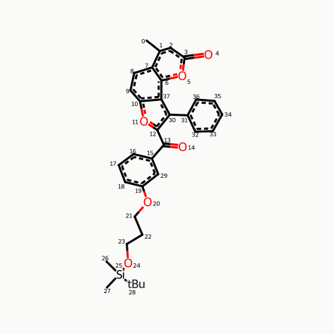 Cc1cc(=O)oc2c1ccc1oc(C(=O)c3cccc(OCCCO[Si](C)(C)C(C)(C)C)c3)c(-c3ccccc3)c12